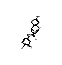 Nc1cc2c(cn1)C1CCC(C2)N1C(=O)Nc1ccc(Cl)c(Cl)c1